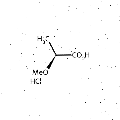 CO[C@@H](C)C(=O)O.Cl